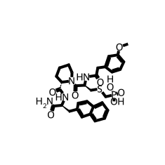 COc1cccc(CC(=O)N[C@@H](CSCP(=O)(O)O)C(=O)N2CCCC[C@H]2C(=O)N[C@@H](Cc2ccc3ccccc3c2)C(N)=O)c1